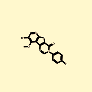 COc1c(Br)cnc2sc3c(=O)n(-c4ccc(Cl)cc4)cnc3c12